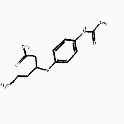 CCCC(CC(C)=O)Sc1ccc(NC(C)=O)cc1